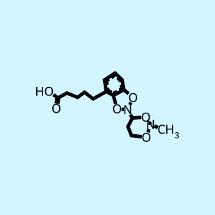 CN1OCCC(N2Oc3cccc(CCCCC(=O)O)c3O2)O1